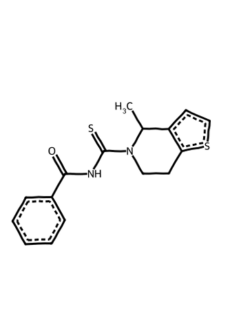 CC1c2ccsc2CCN1C(=S)NC(=O)c1ccccc1